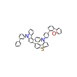 c1ccc(-c2cccc(-n3c4ccccc4c4cc(-c5ccc6sc7cccc(N(c8ccccc8)c8ccc(-c9cccc%10c9oc9ccccc9%10)cc8)c7c6c5)ccc43)c2)cc1